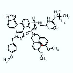 COc1ccc(CN(Cc2ccc(OC)cc2)S(=O)(=O)c2c(S(=O)(=O)NCC(CO)NC(=O)OC(C)(C)C)ccc(-c3cccc4[nH]cnc34)c2-c2nnn(Cc3ccc(OC)cc3)n2)cc1